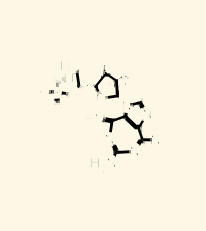 N=c1nc(N)nc(N)c2ncn([C@@H]3O[C@H](C(O)OP(=O)(O)O)[C@@H](O)[C@H]3O)c12